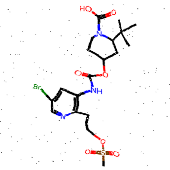 CC(C)(C)C1CC(OC(=O)Nc2cc(Br)cnc2CCOS(C)(=O)=O)CCN1C(=O)O